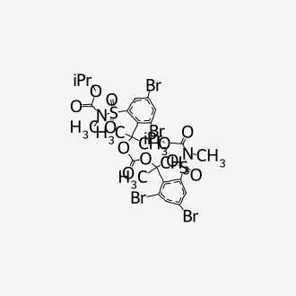 CC(C)OC(=O)N(C)S(=O)(=O)c1cc(Br)cc(Br)c1C(C)(C)OC(=O)OC(C)(C)c1c(Br)cc(Br)cc1S(=O)(=O)N(C)C(=O)OC(C)C